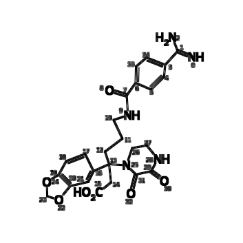 N=C(N)c1ccc(C(=O)NCCCC(CC(=O)O)(c2ccc3c(c2)OCO3)N2CCNC(=O)C2=O)cc1